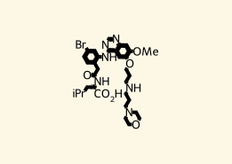 COc1cc2ncnc(Nc3cc(Br)ccc3CC(=O)N[C@@H](CC(C)C)C(=O)O)c2cc1OCCCNCCCN1CCOCC1